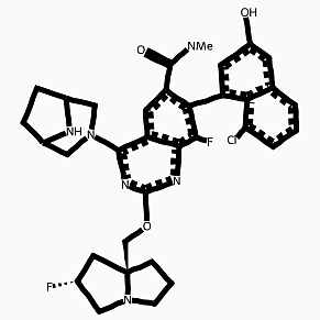 CNC(=O)c1cc2c(N3CC4CCC(C3)N4)nc(OC[C@@]34CCCN3C[C@H](F)C4)nc2c(F)c1-c1cc(O)cc2cccc(Cl)c12